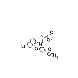 COC(=O)c1ccc2c(c1)N(CC1CCC1[C@@H]1CC(=O)CCO1)CC1(CCCc3cc(Cl)ccc31)CO2